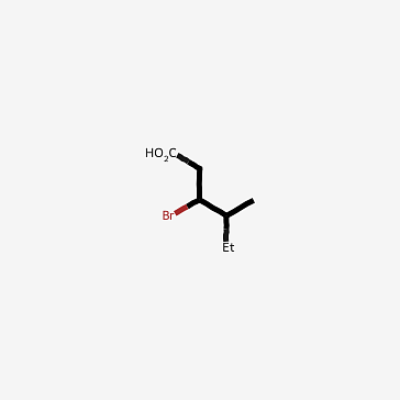 CCC(C)C(Br)CC(=O)O